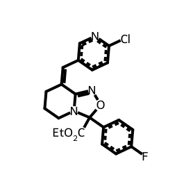 CCOC(=O)C1(c2ccc(F)cc2)ON=C2/C(=C\c3ccc(Cl)nc3)CCCN21